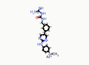 CC(=O)N(C)c1ccc(Nc2ncc(-c3cccc(CNC(=O)NC(=N)N)c3)cn2)cc1